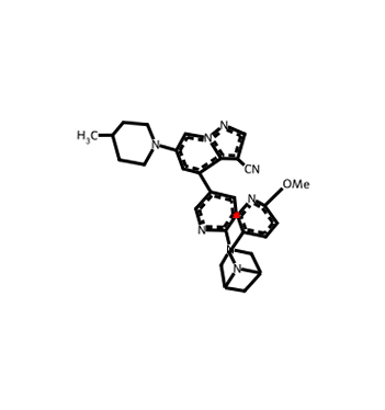 COc1ccc(CN2C3CC2CN(c2ccc(-c4cc(N5CCC(C)CC5)cn5ncc(C#N)c45)cn2)C3)cn1